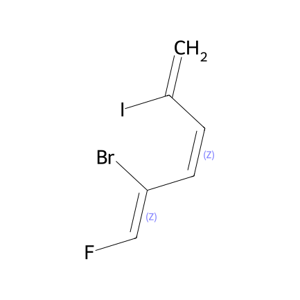 C=C(I)/C=C\C(Br)=C\F